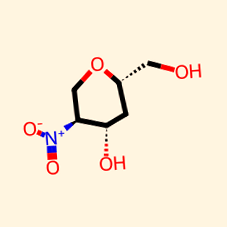 O=[N+]([O-])[C@H]1CO[C@H](CO)C[C@@H]1O